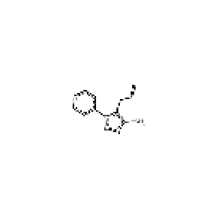 C=CCc1c(-c2ccccc2)noc1N